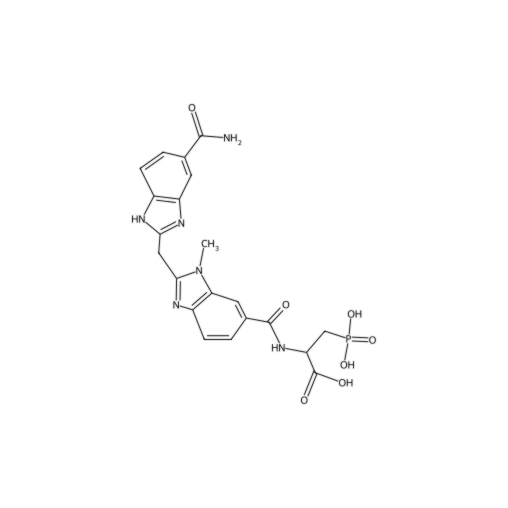 Cn1c(Cc2nc3cc(C(N)=O)ccc3[nH]2)nc2ccc(C(=O)NC(CP(=O)(O)O)C(=O)O)cc21